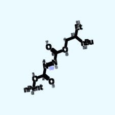 CCCCCOC(=O)/N=N/C(=O)OCC(CC)CCCC